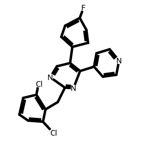 Fc1ccc(-c2cnc(Cc3c(Cl)cccc3Cl)nc2-c2ccncc2)cc1